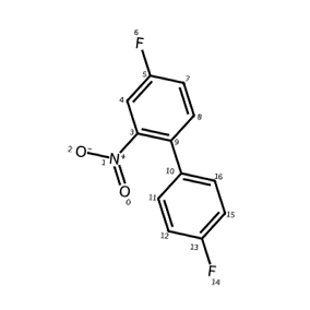 O=[N+]([O-])c1cc(F)ccc1-c1ccc(F)cc1